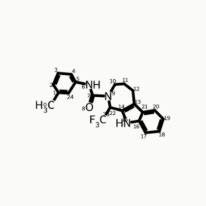 Cc1cccc(NC(=O)N2CCCc3c([nH]c4ccccc34)C2C(F)(F)F)c1